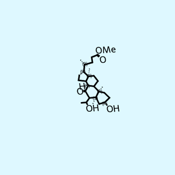 COC(=O)CC[C@@H](C)[C@H]1CCC2[C@@H]3C(=O)C(C(C)O)[C@]4(C)C[C@H](O)CC[C@]4(C)C3CC[C@@]21C